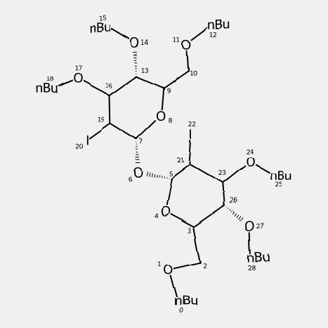 CCCCOCC1O[C@H](O[C@H]2OC(COCCCC)[C@@H](OCCCC)C(OCCCC)C2I)C(I)C(OCCCC)[C@@H]1OCCCC